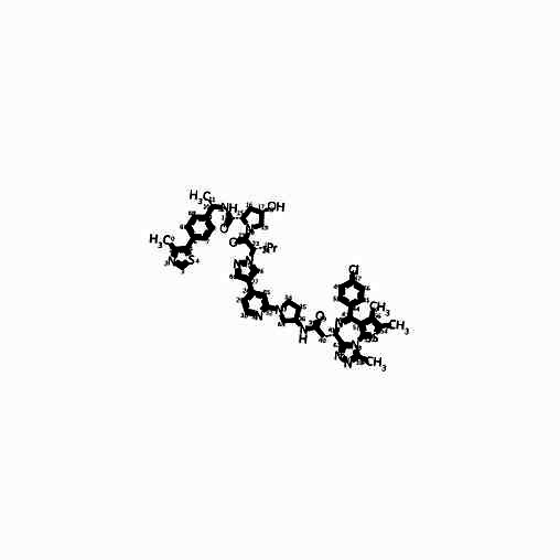 Cc1ncsc1-c1ccc([C@H](C)NC(=O)[C@@H]2C[C@@H](O)CN2C(=O)[C@H](C(C)C)n2cc(-c3ccnc(N4CCC(NC(=O)C[C@@H]5N=C(c6ccc(Cl)cc6)c6c(sc(C)c6C)-n6c(C)nnc65)C4)c3)cn2)cc1